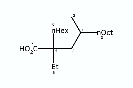 CCCCCCCCC(C)CC(CC)(CCCCCC)C(=O)O